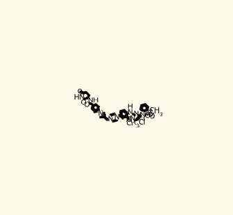 COc1cc(N2CCN(CC3CN(c4ccc(C(=O)NC5CCC(=O)NC5=O)cc4)C3)CC2)ccc1Nc1ncc(Cl)c(Nc2ccccc2P(C)(C)=O)n1